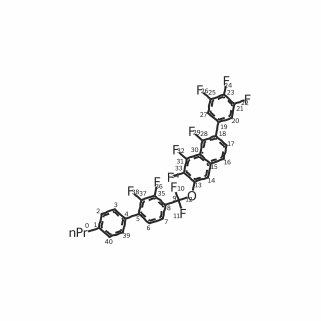 CCCc1ccc(-c2ccc(C(F)(F)Oc3cc4ccc(-c5cc(F)c(F)c(F)c5)c(F)c4c(F)c3F)c(F)c2F)cc1